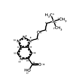 C[Si](C)(C)CCOCn1nnc2cnc(C(=O)O)cc21